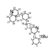 CC(C)(C)c1ccccc1-c1cncc(CC(C)(C)c2cccc(-c3ccnc4ccccc34)c2)c1